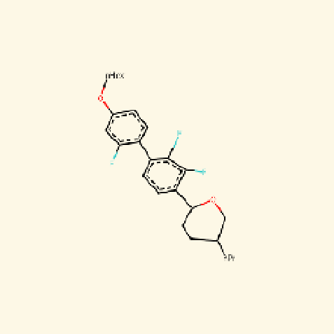 CCCCCCOc1ccc(-c2ccc(C3CCC(CCC)CO3)c(F)c2F)c(F)c1